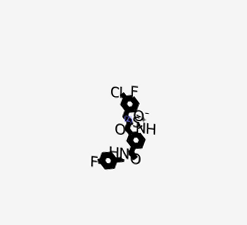 O=C(NCc1ccc(F)cc1)c1ccc2c(c1)C(=O)/C(=C/c1ccc(F)c(Cl)c1)[S+]([O-])N2